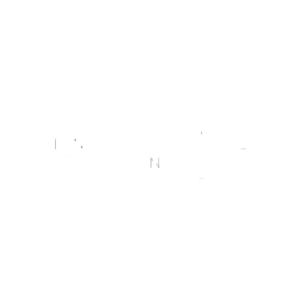 Nc1ccc(OC(F)F)nc1